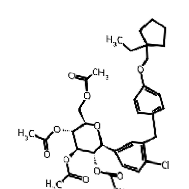 CCC1(COc2ccc(Cc3cc([C@@H]4O[C@H](COC(C)=O)[C@@H](OC(C)=O)[C@H](OC(C)=O)[C@H]4OC(C)=O)ccc3Cl)cc2)CCCC1